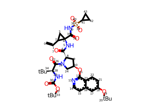 C=CC1C[C@]1(NC(=O)[C@@H]1C[C@@H](Oc2nccc3cc(OC(C)(C)C)ccc23)CN1C(=O)[C@@H](NC(=O)OC(C)(C)C)C(C)(C)C)C(=O)NS(=O)(=O)C1CC1